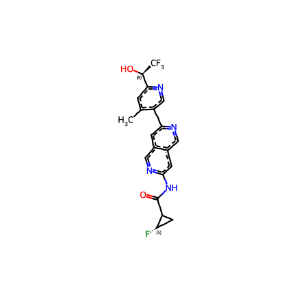 Cc1cc([C@@H](O)C(F)(F)F)ncc1-c1cc2cnc(NC(=O)C3C[C@@H]3F)cc2cn1